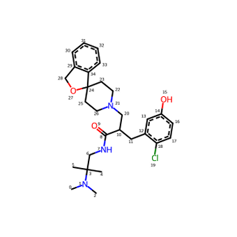 CN(C)C(C)(C)CNC(=O)C(Cc1cc(O)ccc1Cl)CN1CCC2(CC1)OCc1ccccc12